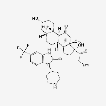 C[C@]12CC[C@@H](O)C[C@H]1CC[C@@H]1[C@@H]2C(=O)C[C@@]2(C)[C@H]1CC[C@]2(O)C(=O)CO.O=c1[nH]c2cc(C(F)(F)F)ccc2n1C1CCNCC1